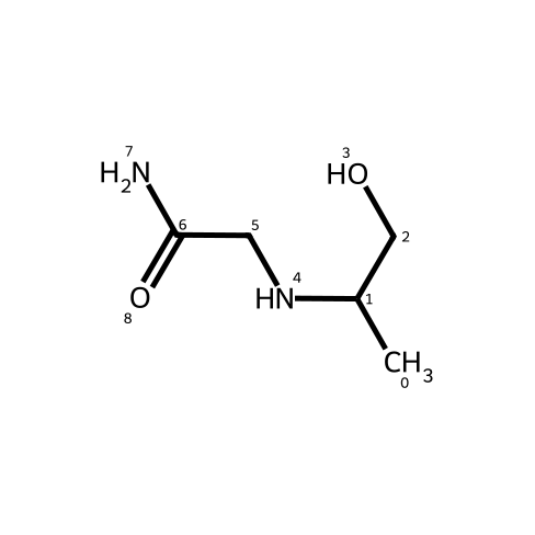 CC(CO)NCC(N)=O